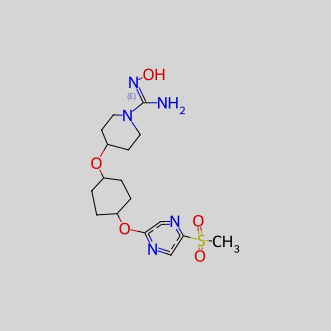 CS(=O)(=O)c1cnc(OC2CCC(OC3CCN(/C(N)=N/O)CC3)CC2)cn1